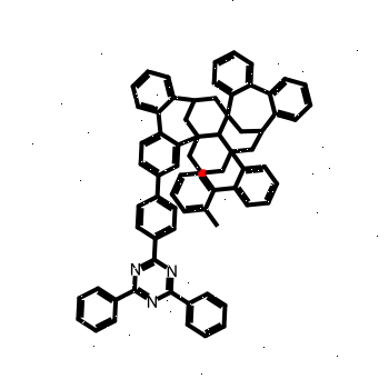 Cc1ccccc1-c1ccccc1C12CCCC34CC(CC5(CC(C1)c1ccccc1-c1ccccc15)C23)c1ccccc1-c1ccc(-c2ccc(-c3nc(-c5ccccc5)nc(-c5ccccc5)n3)cc2)cc14